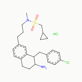 CN(CCCc1ccc2c(c1)C(Cc1ccc(Cl)cc1)C(N)CC2)S(=O)(=O)CC1CC1.Cl